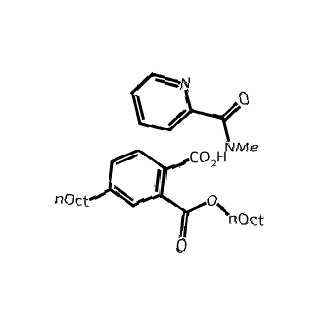 CCCCCCCCOC(=O)c1cc(CCCCCCCC)ccc1C(=O)O.CNC(=O)c1ccccn1